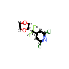 FC(F)(c1cc(Cl)nc(Cl)c1)[C@H]1COCCO1